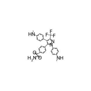 CNc1ccc(-c2c(C(F)(F)F)nn(-c3ccc(NC)cc3)c2-c2ccc(S(N)(=O)=O)cc2)cc1